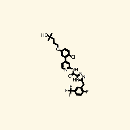 CC(C)(O)CCCOc1ccc(Cl)c(-c2ccnc(NC(=O)c3nnc(Cc4cc(C(F)(F)F)ccc4F)[nH]3)c2)c1